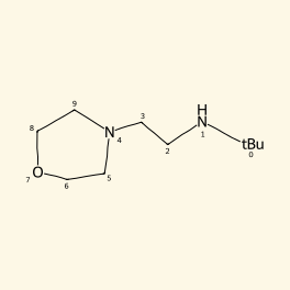 CC(C)(C)NCCN1CCOCC1